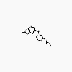 CCC(=O)NC1CCCN(C(=O)c2ccc3c(c2)CC(=O)N3)C1